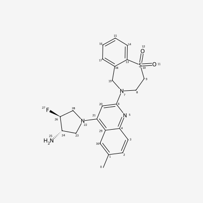 Cc1ccc2nc(N3CCS(=O)(=O)c4ccccc4C3)cc(N3C[C@H](N)[C@@H](F)C3)c2c1